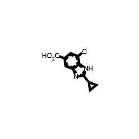 O=C(O)c1cc(Cl)c2[nH]c(C3CC3)nc2c1